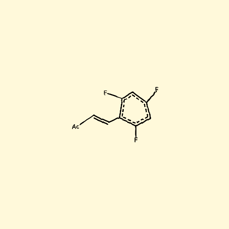 CC(=O)C=Cc1c(F)cc(F)cc1F